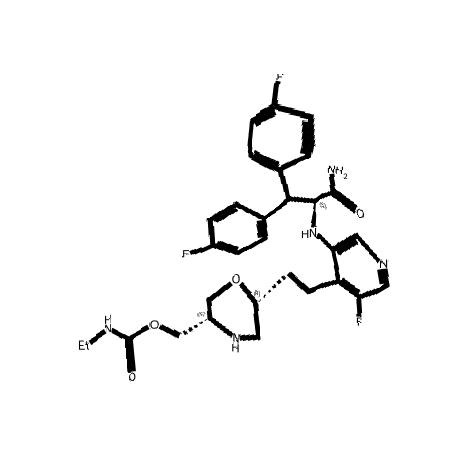 CCNC(=O)OC[C@@H]1CO[C@H](CCc2c(F)cncc2N[C@H](C(N)=O)C(c2ccc(F)cc2)c2ccc(F)cc2)CN1